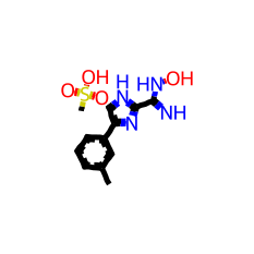 CS(=O)(=O)O.Cc1cccc(-c2c[nH]c(C(=N)NO)n2)c1